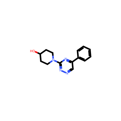 OC1CCN(c2nncc(-c3ccccc3)n2)CC1